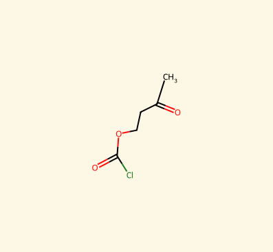 CC(=O)CCOC(=O)Cl